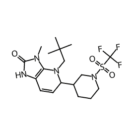 Cn1c2c([nH]c1=O)C=CC(C1CCCN(S(=O)(=O)C(F)(F)F)C1)N2CC(C)(C)C